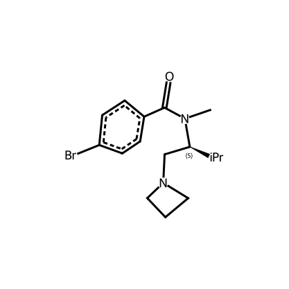 CC(C)[C@@H](CN1CCC1)N(C)C(=O)c1ccc(Br)cc1